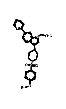 CC(C)Oc1ccc(S(=O)(=O)N2CCC(c3cn(CC=O)c4cc(-c5ccccn5)ccc34)CC2)cc1